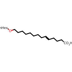 CCCCCCOCCCCCCCC/C=C/CCCC(=O)O